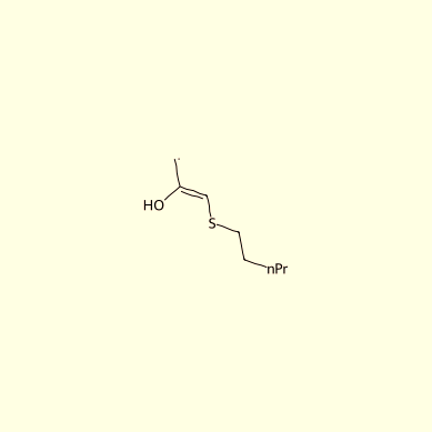 [CH2]/C(O)=C/SCCCCC